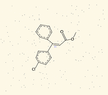 COC(=O)/C=C(\c1ccccc1)c1ccc(Cl)cc1